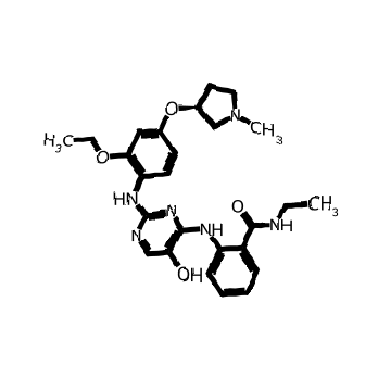 CCNC(=O)c1ccccc1Nc1nc(Nc2ccc(O[C@H]3CCN(C)C3)cc2OCC)ncc1O